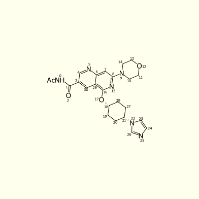 CC(=O)NC(=O)c1cnc2cc(N3CCOCC3)nc(O[C@H]3CC[C@@H](n4ccnc4)CC3)c2c1